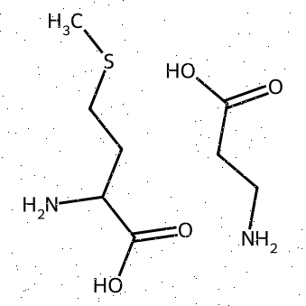 CSCCC(N)C(=O)O.NCCC(=O)O